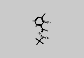 C/C(=N\[S@@+]([O-])C(C)(C)C)c1cccc(C)c1F